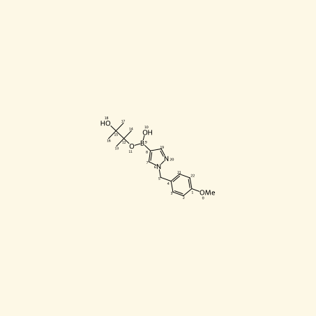 COc1ccc(Cn2cc(B(O)OC(C)(C)C(C)(C)O)cn2)cc1